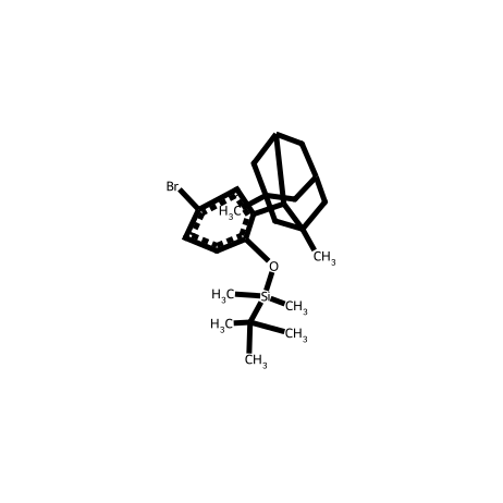 CC12CC3CC(C1)C(c1cc(Br)ccc1O[Si](C)(C)C(C)(C)C)C(C)(C3)C2